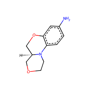 Nc1ccc2c(c1)OC[C@@H]1COCCN21